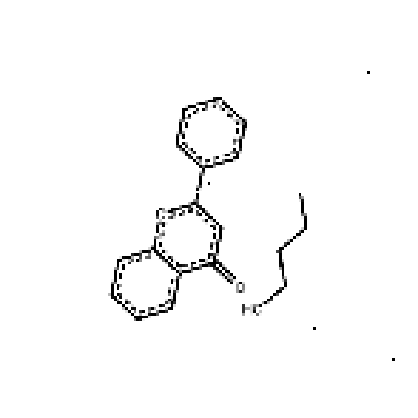 CCCCO.O=c1cc(-c2ccccc2)oc2ccccc12